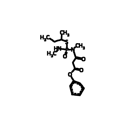 CCC(C)SP(=O)(NC)N(C)C(=O)CC(=O)Oc1ccccc1